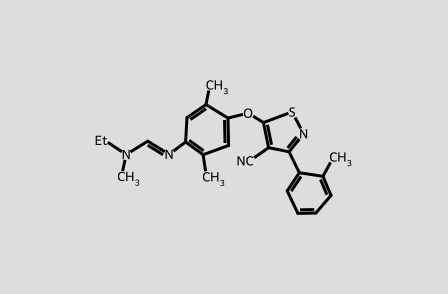 CCN(C)C=Nc1cc(C)c(Oc2snc(-c3ccccc3C)c2C#N)cc1C